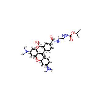 CC(C)OC(=O)NCCNC(=O)c1ccc(-c2c3ccc(=[N+](C)C)cc-3oc3cc(N(C)C)ccc23)c(C(=O)O)c1